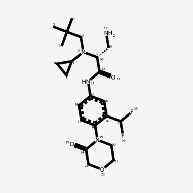 CC(C)(C)CN(C1CC1)[C@H](CN)C(=O)Nc1ccc(N2CCOCC2=O)c(C(F)F)c1